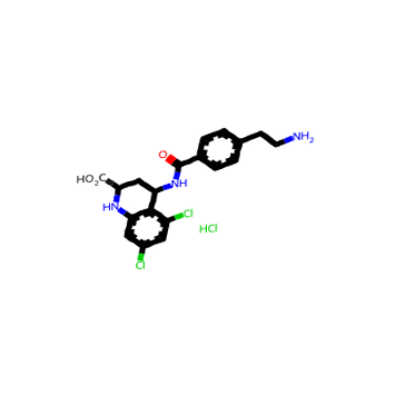 Cl.NCCc1ccc(C(=O)NC2CC(C(=O)O)Nc3cc(Cl)cc(Cl)c32)cc1